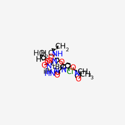 C=C[C@@H]1C[C@]1(NC(=O)[C@@H]1C[C@@H](Oc2cc(-c3coc(NC(C)C)n3)nc3c(Cl)c(OCCN4CCOCC4(C)C)ccc23)CN1C(=O)[C@@H](NC(=O)OC1C[C@@H]2C[C@@H]2C1)C(C)(C)C)C(=O)O